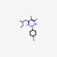 CCC(C)CC(=N)C(C)=C(C)NNc1ccc(Br)cc1